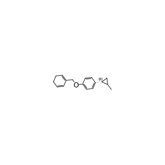 CC1C[C@H]1c1ccc(OCC2=CCCC=C2)cc1